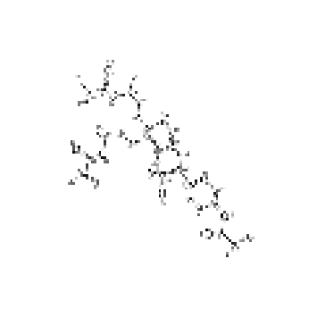 C=C(C)C(=O)Oc1ccc(-c2cc3ccc(CCC(C)OC(=O)C(=C)C)c(CCC(C)OC(=O)C(=C)C)c3oc2=O)cc1